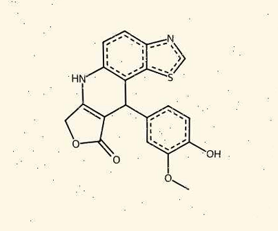 COc1cc(C2C3=C(COC3=O)Nc3ccc4ncsc4c32)ccc1O